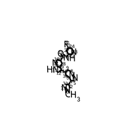 Cn1cc(-c2cnn3ccc(-c4c[nH]c5ncc(C(=O)Nc6cncc(F)c6)cc45)cc23)cn1